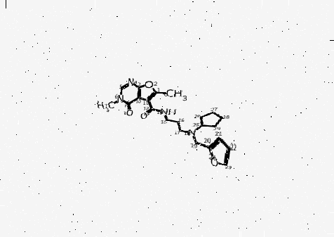 Cc1oc2ncn(C)c(=O)c2c1C(=O)NCCCN(Cc1ccco1)C1CCCC1